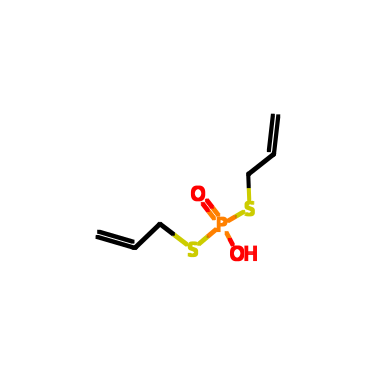 C=CCSP(=O)(O)SCC=C